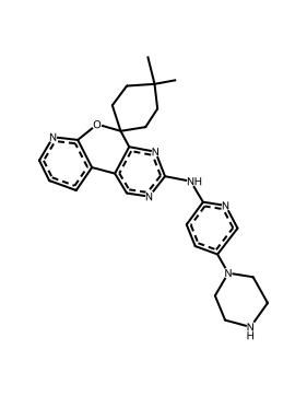 CC1(C)CCC2(CC1)Oc1ncccc1-c1cnc(Nc3ccc(N4CCNCC4)cn3)nc12